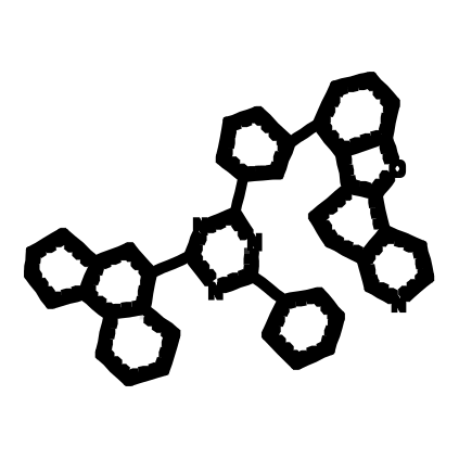 c1ccc(-c2nc(-c3cccc(-c4cccc5oc6c7ccncc7ccc6c45)c3)nc(-c3cc4ccccc4c4ccccc34)n2)cc1